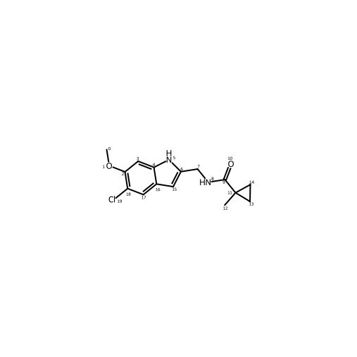 COc1cc2[nH]c(CNC(=O)C3(C)CC3)cc2cc1Cl